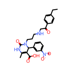 CCc1ccc(C(=O)CNCCCN2C(=O)NC(C)=C(C(=O)O)C2c2cccc([N+](=O)[O-])c2)cc1